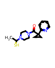 CC(S)N1CCN(C(=O)C2(c3ccccn3)CC2)CC1